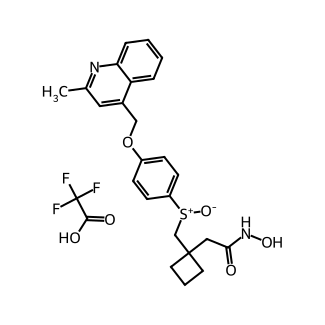 Cc1cc(COc2ccc([S+]([O-])CC3(CC(=O)NO)CCC3)cc2)c2ccccc2n1.O=C(O)C(F)(F)F